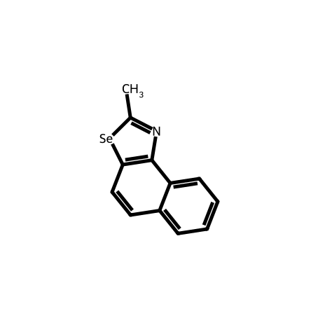 Cc1nc2c(ccc3ccccc32)[se]1